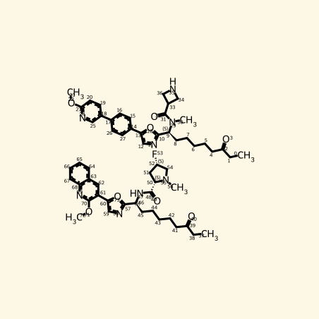 CCC(=O)CCCCC[C@@H](c1ncc(-c2ccc(-c3ccc(OC)nc3)cc2)o1)N(C)C(=O)C1CNC1.CCC(=O)CCCCC[C@H](NC(=O)[C@@H]1C[C@H](F)CN1C)c1ncc(-c2cc3ccccc3nc2OC)o1